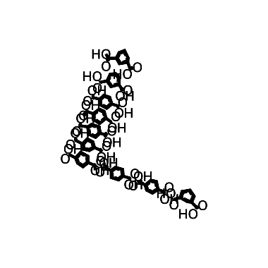 O=C(O)c1ccc(C(=O)O)cc1.O=C(O)c1ccc(C(=O)O)cc1.O=C(O)c1ccc(C(=O)O)cc1.O=C(O)c1ccc(C(=O)O)cc1.O=C(O)c1ccc(C(=O)O)cc1.O=C(O)c1ccc(C(=O)O)cc1.O=C(O)c1ccc(C(=O)O)cc1.O=C(O)c1cccc(C(=O)O)c1.O=C(O)c1cccc(C(=O)O)c1.O=C(O)c1cccc(C(=O)O)c1